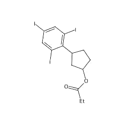 CCC(=O)OC1CCC(c2c(I)cc(I)cc2I)C1